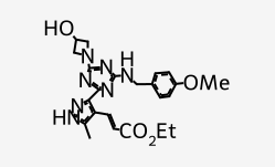 CCOC(=O)C=Cc1c(-c2nc(NCc3ccc(OC)cc3)nc(N3CC(O)C3)n2)n[nH]c1C